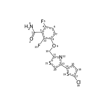 NC(=O)c1c(F)ccc(OCc2nc(-c3ccc(Cl)s3)cs2)c1F